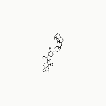 O=C1CCC(N2Cc3cc(C4CCN(Cc5ccc6cccnc6n5)CC4)c(F)cc3C2=O)C(=O)N1